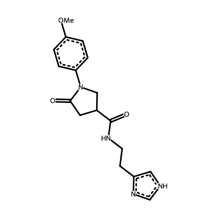 COc1ccc(N2CC(C(=O)NCCc3c[nH]cn3)CC2=O)cc1